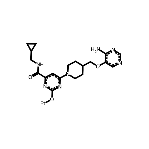 CCOc1nc(C(=O)NCC2CC2)cc(N2CCC(COc3cncnc3N)CC2)n1